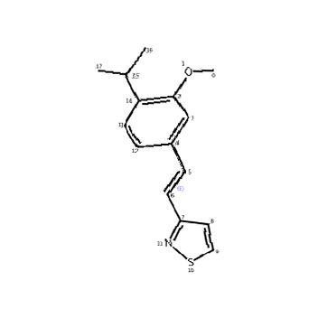 COc1cc(/C=C/c2ccsn2)ccc1C(C)C